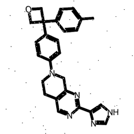 Cc1ccc(C2(c3ccc(N4CCc5cnc(-c6c[nH]cn6)nc5C4)cc3)COC2)cc1